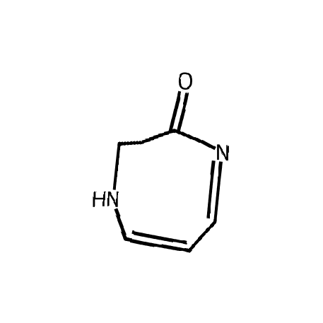 O=C1CNC=CC=N1